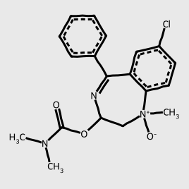 CN(C)C(=O)OC1C[N+](C)([O-])c2ccc(Cl)cc2C(c2ccccc2)=N1